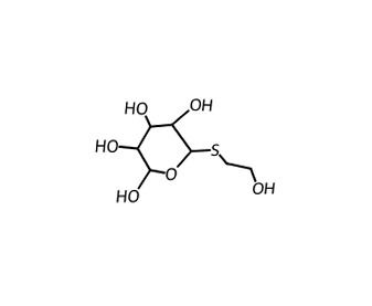 OCCSC1OC(O)C(O)C(O)C1O